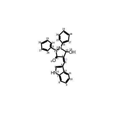 O=C1/C(=C\c2c[nH]c3ccccc23)C(O)N(c2ccccc2)N1c1ccccc1